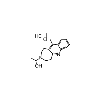 Cc1c2c(nc3ccccc13)CCN(C(C)O)CC2.Cl.Cl